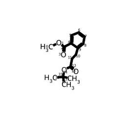 COC(=O)c1ccccc1CCC(=O)OC(C)(C)C